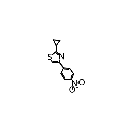 O=[N+]([O-])c1ccc(-c2csc(C3CC3)n2)cc1